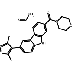 Cc1noc(C)c1-c1ccc2[nH]c3cc(C(=O)N4CCOCC4)ccc3c2c1.NC=S